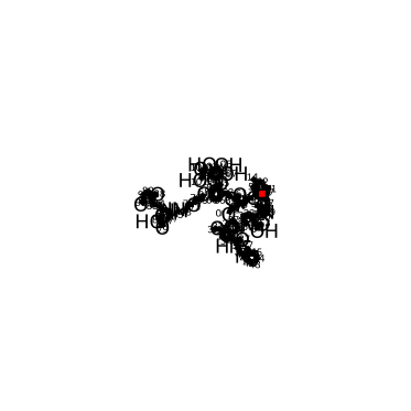 COCCN(CCOC12CC3(C)CC(C)(CC(Cn4ncc(-c5ccc(N6CCc7c(OC)ccc(C(=O)Nc8nc9ccccc9s8)c7C6)nc5C(=O)O)c4C)(C3)C1)C2)C(=O)OCc1ccc(OCCOCCNC[C@H](CS(=O)(=O)O)NCCCN2C(=O)C=CC2=O)cc1O[C@@H]1O[C@H](C(=O)O)[C@@H](O)[C@H](O)[C@H]1O